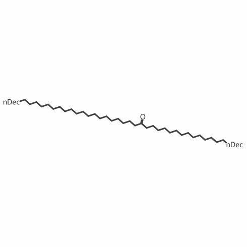 CCCCCCCCCCCCCCCCCCCCCCCCCCCCCCC(=O)CCCCCCCCCCCCCCCCCCCCCCCC